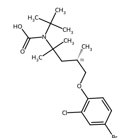 C[C@H](COc1ccc(Br)cc1Cl)CC(C)(C)N(C(=O)O)C(C)(C)C